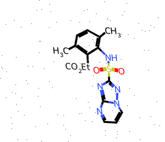 CCOC(=O)c1c(C)ccc(C)c1NS(=O)(=O)c1nc2ncccn2n1